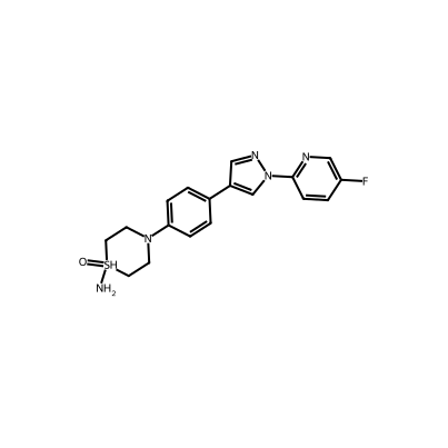 N[SH]1(=O)CCN(c2ccc(-c3cnn(-c4ccc(F)cn4)c3)cc2)CC1